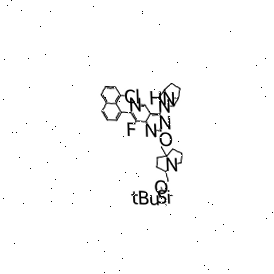 CC(C)(C)[Si](C)(C)OCC1CCC2(COc3nc(N4CC5CCC(C4)N5)c4cnc(-c5cccc6cccc(Cl)c56)c(F)c4n3)CCCN12